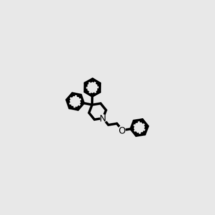 c1ccc(OCCN2CCC(c3ccccc3)(c3ccccc3)CC2)cc1